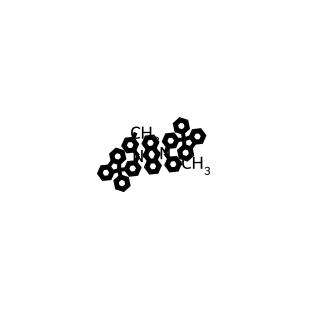 Cc1cccc(N(c2cccc(C3(c4ccccc4)c4ccccc4-c4ccccc43)c2)c2c3ccccc3c(N(c3cccc(C)c3)c3cccc(C4(c5ccccc5)c5ccccc5-c5ccccc54)c3)c3ccccc23)c1